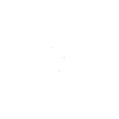 CCCCCCCCOCCCCCCCC.Cl